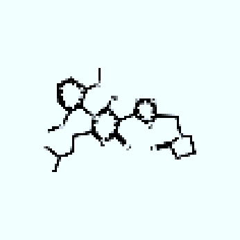 COc1cccc(OC)c1-n1c(CCC(C)C)nc(=O)c(-c2nnc(CN3CCCC3=O)o2)c1O